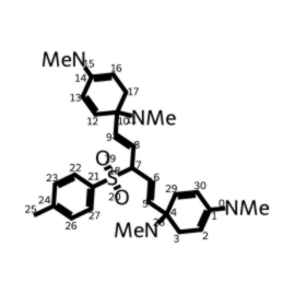 CNC1=CCC(C=CC(C=CC2(NC)C=CC(NC)=CC2)S(=O)(=O)c2ccc(C)cc2)(NC)C=C1